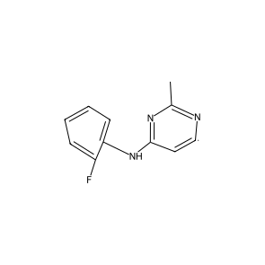 Cc1n[c]cc(Nc2ccccc2F)n1